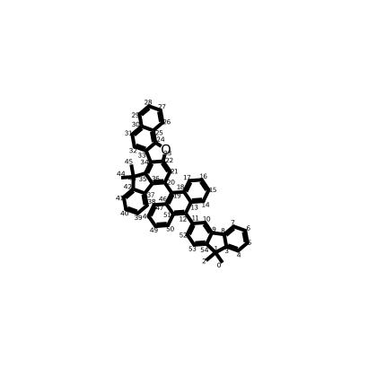 CC1(C)c2ccccc2-c2cc(-c3c4ccccc4c(-c4cc5oc6c7ccccc7ccc6c5c5c4-c4ccccc4C5(C)C)c4ccccc34)ccc21